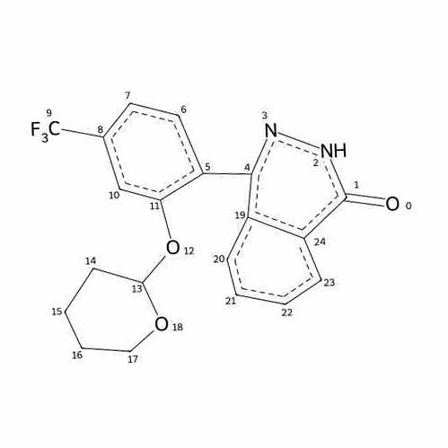 O=c1[nH]nc(-c2ccc(C(F)(F)F)cc2OC2CCCCO2)c2ccccc12